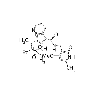 CCN([C@H](C)c1c(C)c(C(=O)NCc2c(OC)cc(C)[nH]c2=O)c2cccnn12)S(C)(=O)=O